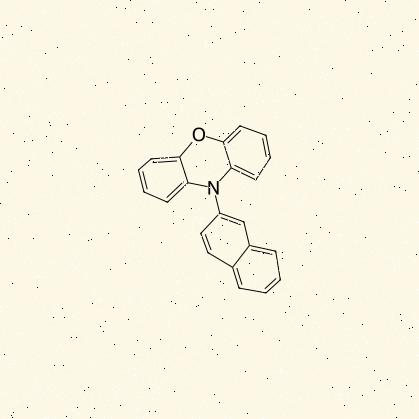 c1ccc2c(c1)Oc1ccccc1N2c1ccc2ccccc2c1